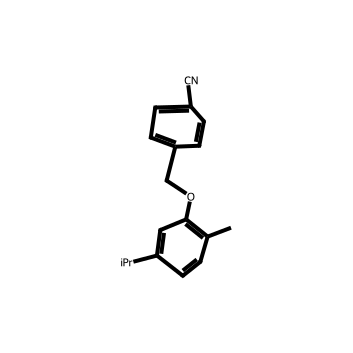 Cc1ccc(C(C)C)cc1OCc1ccc(C#N)cc1